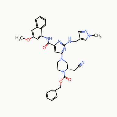 COc1cc(NC(=O)c2cc(N3CCN(C(=O)OCc4ccccc4)[C@@H](CC#N)C3)nc(NCc3cnn(C)c3)n2)c2ccccc2c1